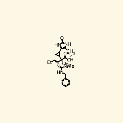 C=C(C)C(C)(C(=C/CC)/N=C(\NC)NCc1ccccc1)C1CC1c1[nH]c(=O)[nH]c1C